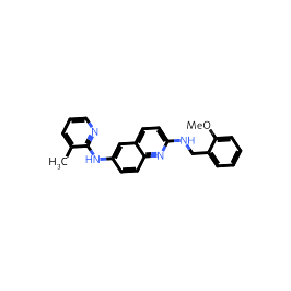 COc1ccccc1CNc1ccc2cc(Nc3ncccc3C)ccc2n1